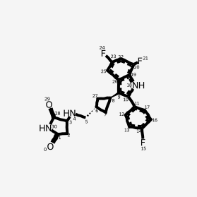 O=C1CC(NC[C@H]2C[C@H](c3c(-c4ccc(F)cc4)[nH]c4c(F)cc(F)cc43)C2)C(=O)N1